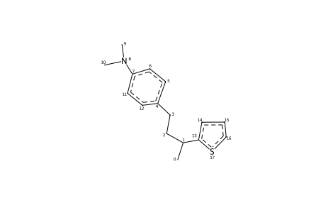 CC(CCc1ccc(N(C)C)cc1)c1cccs1